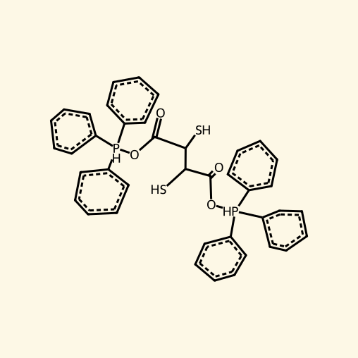 O=C(O[PH](c1ccccc1)(c1ccccc1)c1ccccc1)C(S)C(S)C(=O)O[PH](c1ccccc1)(c1ccccc1)c1ccccc1